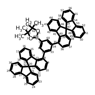 CC1(C)OB(c2cc(-c3cccc4c3-c3ccccc3C43c4ccccc4-c4ccccc43)cc(-c3cccc4c3-c3ccccc3C43c4ccccc4-c4ccccc43)c2)OC1(C)C